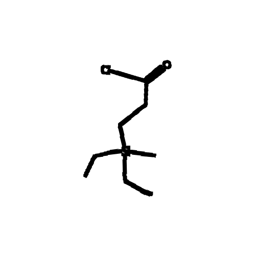 CC[Si](C)(CC)CCC(=O)Cl